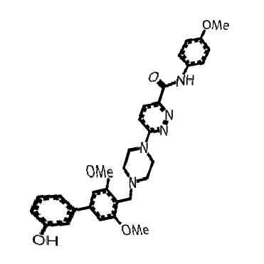 COc1ccc(NC(=O)c2ccc(N3CCN(Cc4c(OC)cc(-c5cccc(O)c5)cc4OC)CC3)nn2)cc1